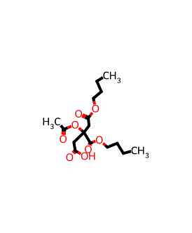 CCCCOC(=O)CC(CC(=O)O)(OC(C)=O)C(=O)OCCCC